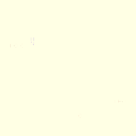 O=Cc1ccc(Oc2ccc(C/C=C/c3ccc(-c4ccccc4)c(NC(=O)O)c3)cc2)cc1